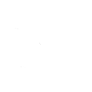 C=CCC(C)C/C=C\C(=C/C)n1c2ccc(C(C)(C)C)cc2c2cc(C(C)(C)C)ccc21